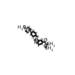 CON(C)C(=O)c1ccc2ncn(Cc3ccc(N4CCN(C)CC4)cc3)c2c1